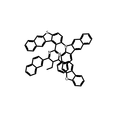 CCC1C(c2ccc3ccccc3c2)=NC(c2c(-n3c4cc5ccccc5cc4c4cc5ccccc5cc43)ccc3sc4cc5ccccc5cc4c23)=NC1c1ccc2c(c1)oc1ccccc12